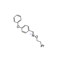 CC(C)CCO/N=C/c1ccc(Oc2ccccc2)cc1